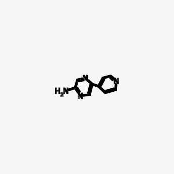 Nc1cnc(-c2ccncc2)cn1